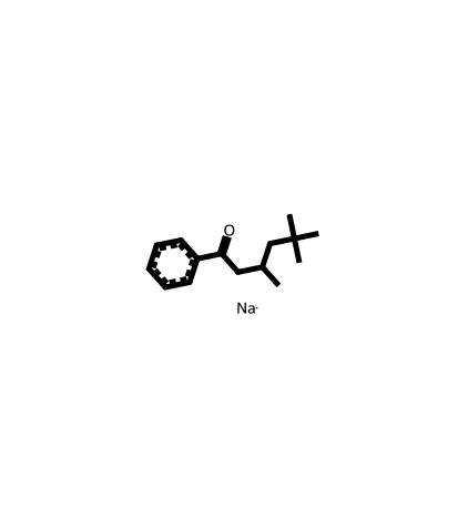 CC(CC(=O)c1ccccc1)CC(C)(C)C.[Na]